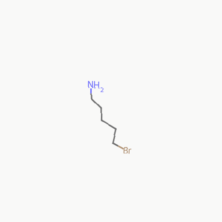 NCCCCCBr